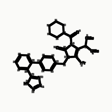 CCCc1c(C(OC)OC)n(C(=O)C2CCCCC2)c(=O)n1Cc1ccc(-c2ccccc2-c2nnn[nH]2)cc1